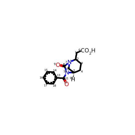 O=C(O)CC1CC[C@@H]2CN1C(=O)N2C(=O)c1ccccc1